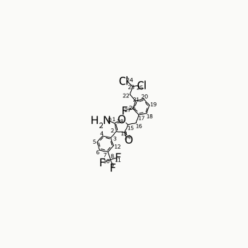 NC1=C(c2cccc(C(F)(F)F)c2)C(=O)C(Cc2cccc(CC(Cl)Cl)c2F)O1